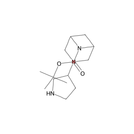 CC(C)(C)OC(=O)N1C2CC1CN(C1CCNC1)C2